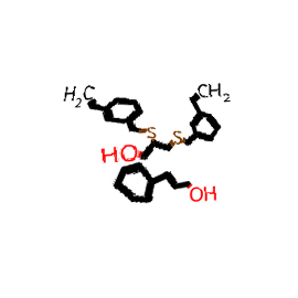 C=Cc1cccc(CSCC(CO)SCc2cccc(C=C)c2)c1.OCC=Cc1ccccc1